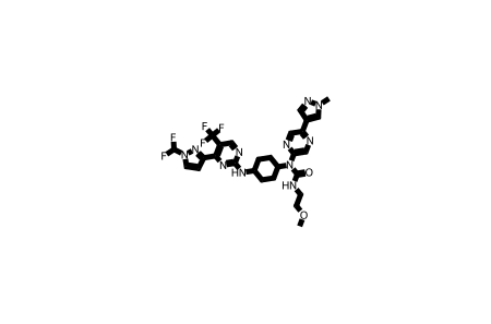 COCCNC(=O)N(c1cnc(-c2cnn(C)c2)cn1)C1CCC(Nc2ncc(C(F)(F)F)c(-c3ccn(C(F)F)n3)n2)CC1